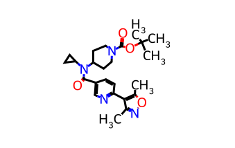 Cc1noc(C)c1-c1ccc(C(=O)N(C2CC2)C2CCN(C(=O)OC(C)(C)C)CC2)cn1